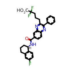 O=C(N[C@@H]1CCCc2cc(F)ccc21)c1ccc2nc(-c3ccccc3)c(CCCC(F)(F)C(=O)O)nc2c1